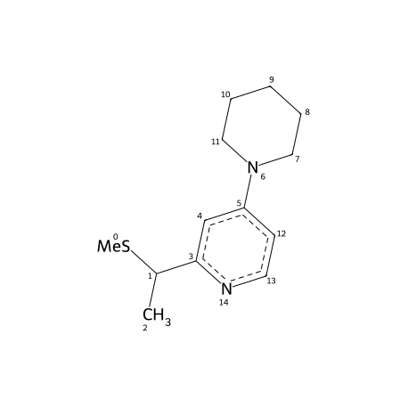 CSC(C)c1cc(N2CCCCC2)ccn1